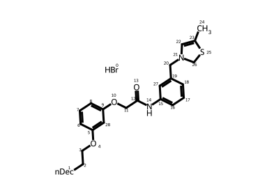 Br.CCCCCCCCCCCCOc1cccc(OCC(=O)Nc2cccc(CN3C=C(C)SC3)c2)c1